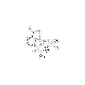 CN(C)S(=O)(=O)c1cccc(C(=O)O)c1NCCC(C)(C)C